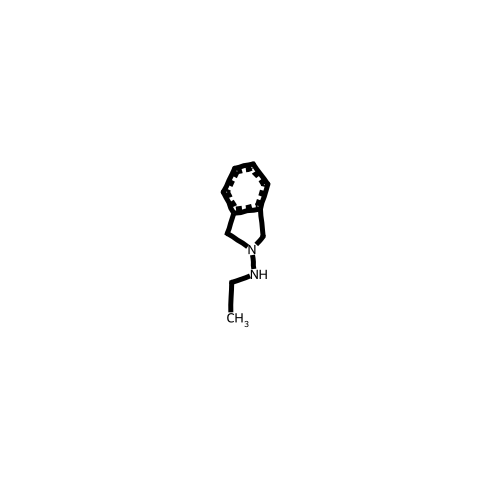 CCNN1Cc2ccccc2C1